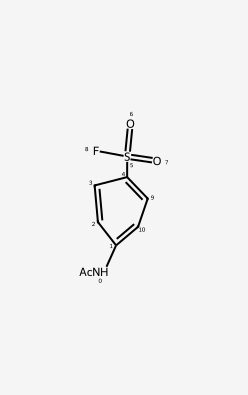 CC(=O)Nc1ccc(S(=O)(=O)F)cc1